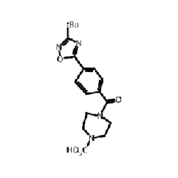 CC(C)(C)c1noc(-c2ccc(C(=O)N3CCN(C(=O)O)CC3)cc2)n1